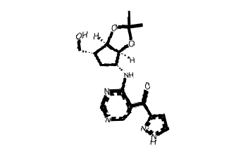 CC1(C)O[C@@H]2[C@@H](CO)C[C@@H](Nc3ncncc3C(=O)c3cc[nH]n3)[C@@H]2O1